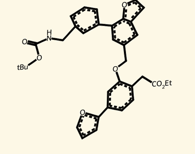 CCOC(=O)Cc1ccc(-c2ccco2)cc1OCc1cc(-c2cccc(CNC(=O)OC(C)(C)C)c2)c2occc2c1